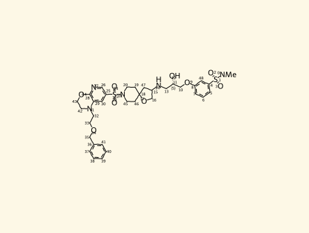 CNS(=O)(=O)c1cccc(OC[C@@H](O)CNC2COC3(CCN(S(=O)(=O)c4cnc5c(c4)N(CCOCc4ccccc4)CCO5)CC3)C2)c1